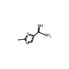 Cc1ncc(C(=N)N)s1